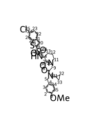 COc1ccc(CN(C(=O)CN2CCC[C@H](NS(=O)(=O)c3cc4ccc(Cl)cc4s3)C2=O)C2CC2)cc1